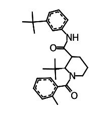 Cc1ccccc1C(=O)N1CCCC(C(=O)Nc2cccc(C(C)(C)C)c2)[C@@H]1C(C)(C)C